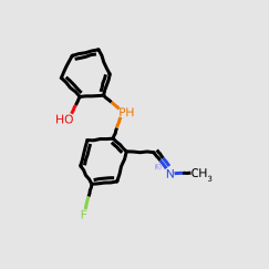 C/N=C/c1cc(F)ccc1Pc1ccccc1O